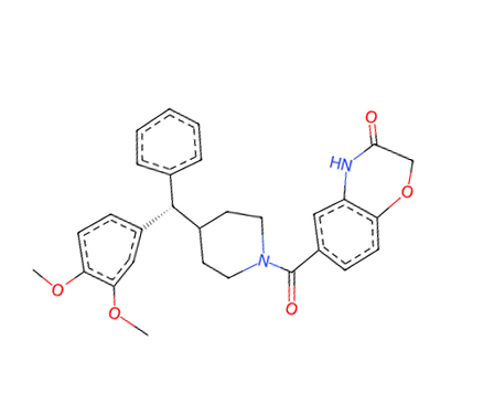 COc1ccc([C@H](c2ccccc2)C2CCN(C(=O)c3ccc4c(c3)NC(=O)CO4)CC2)cc1OC